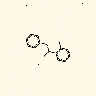 Cc1ccccc1C(C)Cc1ccccc1